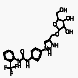 O=C(Nc1ccc(N2C=C(COC3OC(CO)C(O)C3O)NN2)cc1)Nc1ccccc1C(F)(F)F